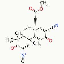 [C-]#[N+]C1=CC2(C)C3=CC(=O)C(C#N)=CC3(C#CC(=O)OC)CCC2C(C)(C)C1=O